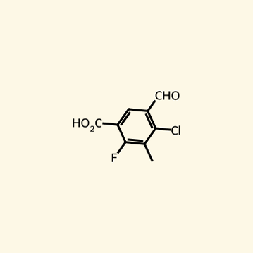 Cc1c(F)c(C(=O)O)cc(C=O)c1Cl